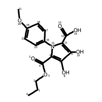 CCCOC(=O)c1c(O)c(O)c(C(=O)O)n1-c1ccc(OC)cc1